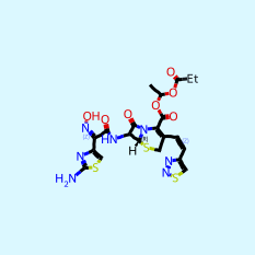 CCC(=O)OC(C)OC(=O)C1=C(/C=C\c2csnn2)CS[C@@H]2C(NC(=O)/C(=N\O)c3csc(N)n3)C(=O)N12